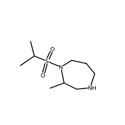 CC1CNCCCN1S(=O)(=O)C(C)C